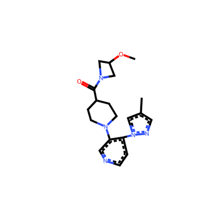 COC1CN(C(=O)C2CCN(c3cnccc3-n3cc(C)cn3)CC2)C1